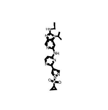 CCNc1nc2cnc(Nc3ccnc(-c4cnn(S(=O)(=O)C5CC5)c4)n3)cc2n1C(C)C